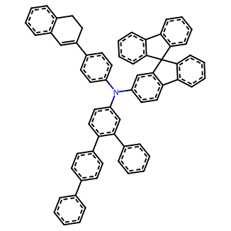 C1=C(c2ccc(N(c3ccc(-c4ccc(-c5ccccc5)cc4)c(-c4ccccc4)c3)c3ccc4c(c3)C3(c5ccccc5-c5ccccc53)c3ccccc3-4)cc2)CCc2ccccc21